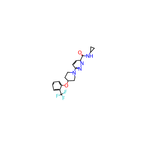 O=C(NC1CC1)c1ccc(N2CCC(Oc3ccccc3C(F)(F)F)CC2)nn1